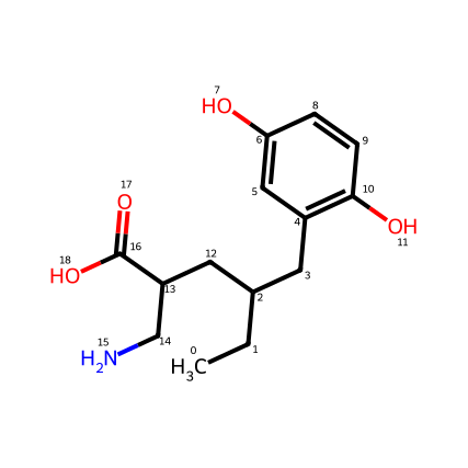 CCC(Cc1cc(O)ccc1O)CC(CN)C(=O)O